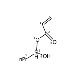 C=CC(=O)O[SiH](O)CCC